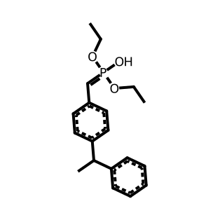 CCOP(O)(=Cc1ccc(C(C)c2ccccc2)cc1)OCC